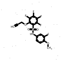 C#CCOc1c(F)c(F)c(F)c(F)c1S(=O)(=O)Nc1ccc(OC)c(F)c1